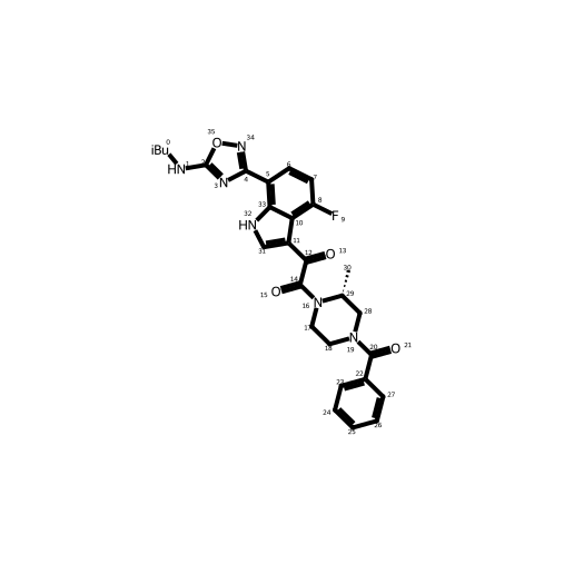 CCC(C)Nc1nc(-c2ccc(F)c3c(C(=O)C(=O)N4CCN(C(=O)c5ccccc5)C[C@H]4C)c[nH]c23)no1